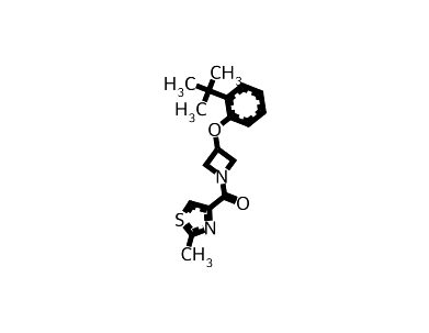 Cc1nc(C(=O)N2CC(Oc3ccccc3C(C)(C)C)C2)cs1